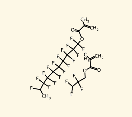 C=C(C)C(=O)OC(F)(F)C(F)(F)C(F)(F)C(F)(F)C(F)(F)C(F)(F)C(F)(F)C(F)(F)C(C)F.C=C(C)C(=O)OCC(F)(F)C(F)F